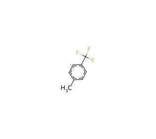 Cc1c[c]c(C(F)(F)F)cc1